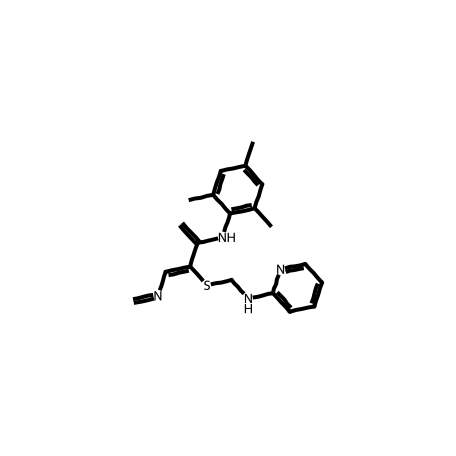 C=N/C=C(\SCNc1ccccn1)C(=C)Nc1c(C)cc(C)cc1C